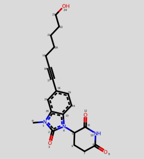 Cn1c(=O)n(C2CCC(=O)NC2=O)c2ccc(C#CCCCCCO)cc21